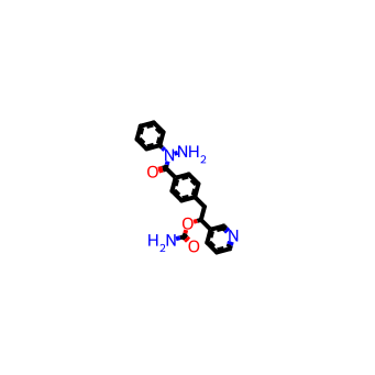 NC(=O)OC(Cc1ccc(C(=O)N(N)c2ccccc2)cc1)c1cccnc1